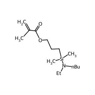 C=C(C)C(=O)OCCC[Si](C)(C)N(CC)CCCC